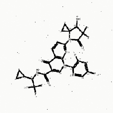 CC1(C)C(=O)N(c2ccc3c(=O)c(C(=O)NC(C4CC4)C(F)(F)F)cn(-c4ncc(F)cc4F)c3n2)C2(CC2)C1O